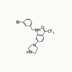 O=C(c1ccc(N2CCNCC2)cc1NCc1cccc(Br)c1)C(F)(F)F